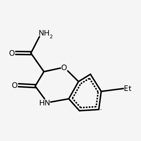 CCc1[c]cc2c(c1)OC(C(N)=O)C(=O)N2